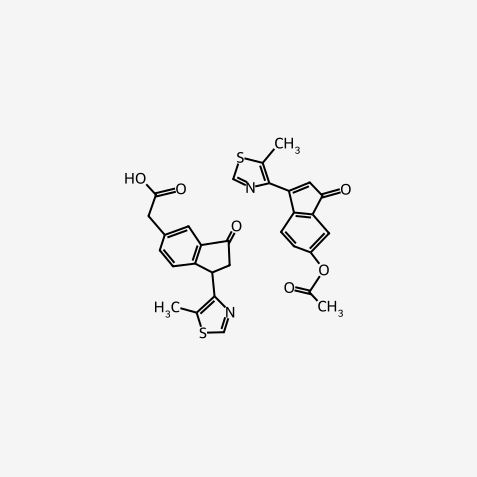 CC(=O)Oc1ccc2c(c1)C(=O)C=C2c1ncsc1C.Cc1scnc1C1CC(=O)c2cc(CC(=O)O)ccc21